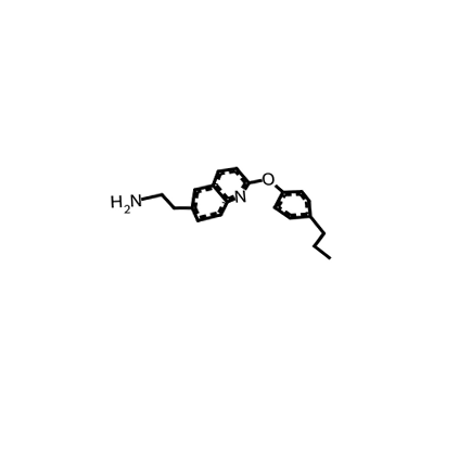 CCCc1ccc(Oc2ccc3cc(CCN)ccc3n2)cc1